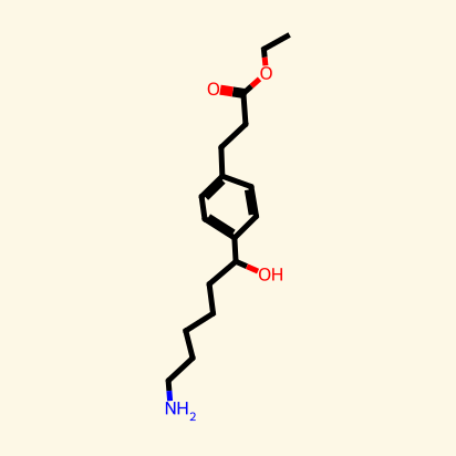 CCOC(=O)CCc1ccc(C(O)CCCCCN)cc1